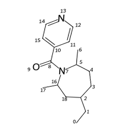 CCC1CCC(C)N(C(=O)c2ccncc2)C(C)C1